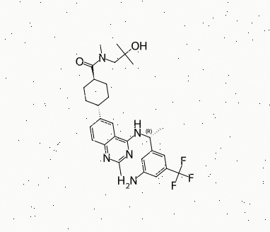 Cc1nc(N[C@H](C)c2cc(N)cc(C(F)(F)F)c2)c2cc([C@H]3CC[C@H](C(=O)N(C)CC(C)(C)O)CC3)ccc2n1